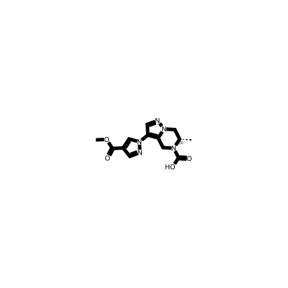 COC(=O)c1cnn(-c2cnn3c2CN(C(=O)O)[C@@H](C)C3)c1